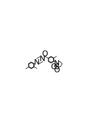 Cc1ccc(N2CCN(C(=O)c3ccc(N4CCCS4(=O)=O)c(C)c3)CC2)c(C)c1